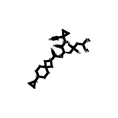 CC(C)CC(F)(F)C[C@H](NC(=O)N1CC2(CCN(C3CC3)CC2)C1)C(=O)NC1(C#N)CC1